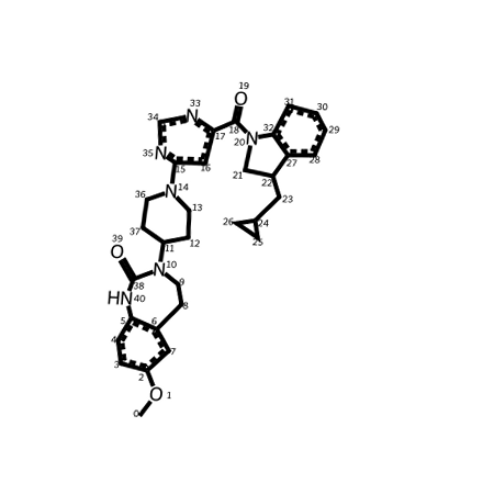 COc1ccc2c(c1)CCN(C1CCN(c3cc(C(=O)N4CC(CC5CC5)c5ccccc54)ncn3)CC1)C(=O)N2